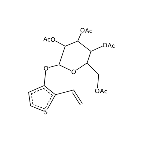 C=Cc1sccc1OC1OC(COC(C)=O)C(OC(C)=O)C(OC(C)=O)C1OC(C)=O